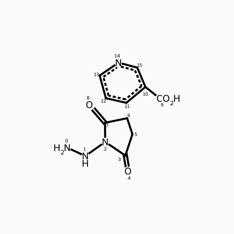 NNN1C(=O)CCC1=O.O=C(O)c1cccnc1